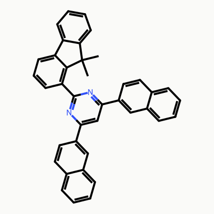 CC1(C)c2ccccc2-c2cccc(-c3nc(-c4ccc5ccccc5c4)cc(-c4ccc5ccccc5c4)n3)c21